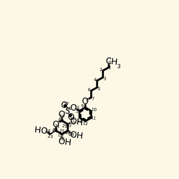 CCCCCCCCOc1ccccc1OS(=O)(=O)O[C@@H]1O[C@H](CO)[C@@H](O)[C@H](O)[C@@H]1O